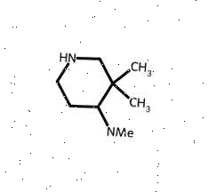 CNC1CCNCC1(C)C